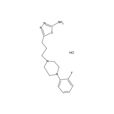 Cl.Nc1nnc(CCCN2CCN(c3ccccc3F)CC2)s1